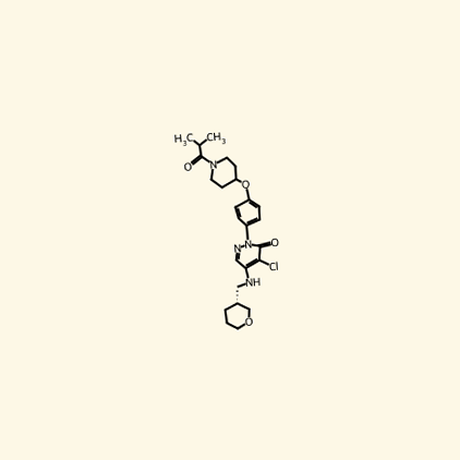 CC(C)C(=O)N1CCC(Oc2ccc(-n3ncc(NC[C@H]4CCCOC4)c(Cl)c3=O)cc2)CC1